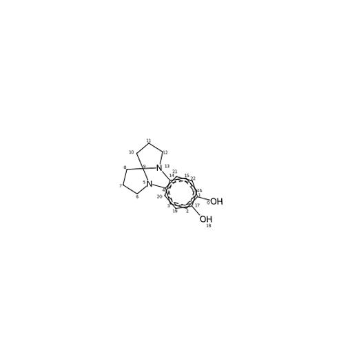 Oc1ccc(N2CCCC23CCCN3c2ccc(O)cc2)cc1